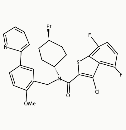 CC[C@H]1CC[C@H](N(Cc2cc(-c3ccccn3)ccc2OC)C(=O)c2sc3c(F)ccc(F)c3c2Cl)CC1